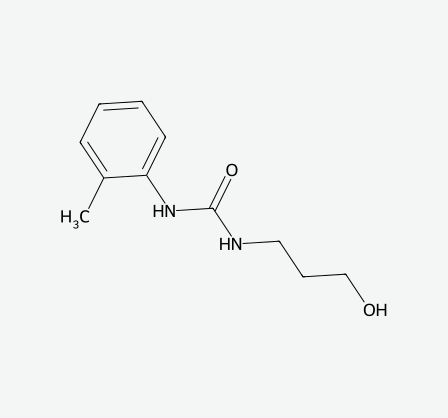 Cc1ccccc1NC(=O)NCCCO